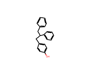 Oc1ccc(CC(Cc2ccccc2)c2ccccc2)cc1